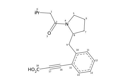 CC(C)CC(=O)N1CCCC1Cc1ccccc1C#CC(=O)O